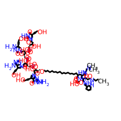 CCCCNC(=O)CCC(CC(CC(CCCCCCCCCCCCCCCCCOC[C@H]1O[C@@H](n2cc(C#CCO)c3c(=O)[nH]c(N)nc32)C[C@H]1OP(=O)(O)OC[C@H]1O[C@@H](n2cc(C#CCO)c3c(N)ncnc32)C[C@H]1OP(=O)(O)OC[C@H]1O[C@@H](n2cc(C#CCO)c(N)nc2=O)C[C@H]1OP(=O)(O)OC[C@H]1O[C@@H](n2cc(C#CCO)c(=O)[nH]c2=O)CC1O)C(=O)NCC(=O)O)C(=O)NCCN(C)C)C(=O)NCc1ccccc1